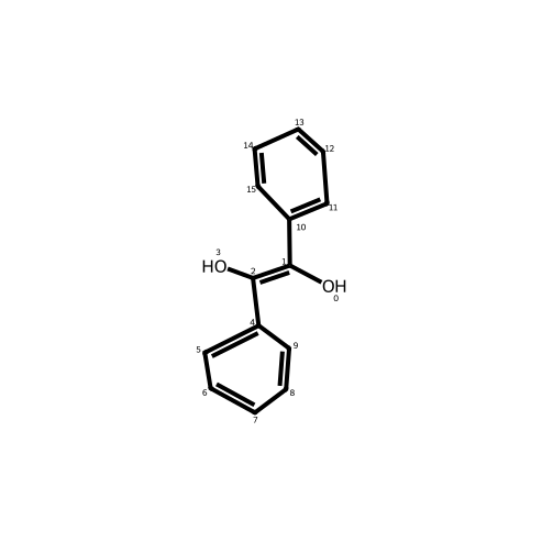 OC(=C(O)c1ccccc1)c1ccccc1